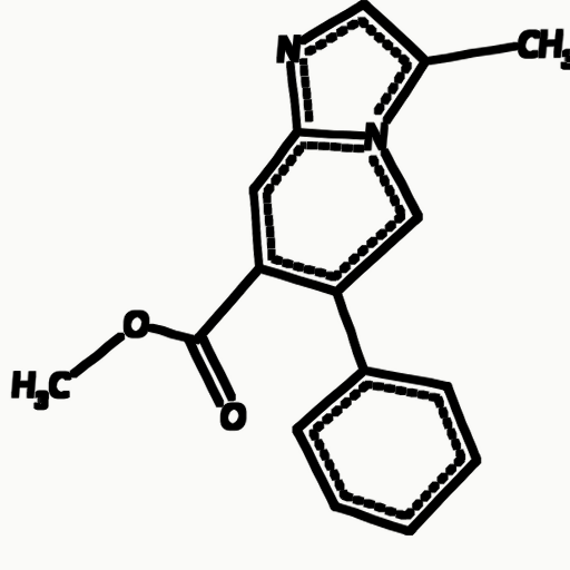 COC(=O)c1cc2ncc(C)n2cc1-c1ccccc1